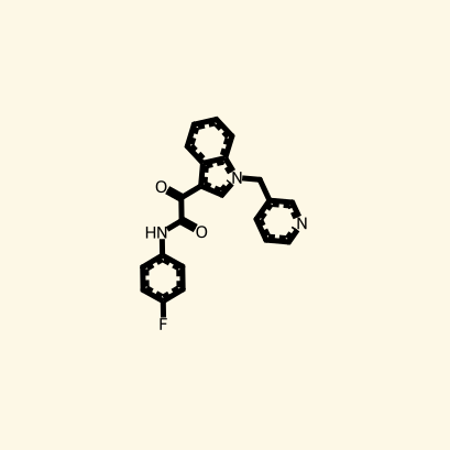 O=C(Nc1ccc(F)cc1)C(=O)c1cn(Cc2cccnc2)c2ccccc12